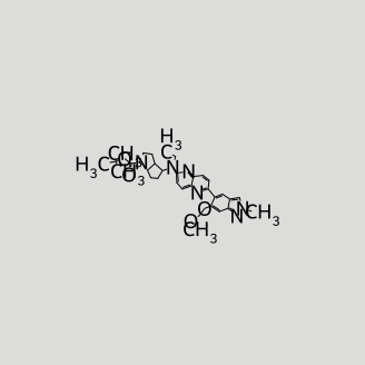 CCN(c1ccc2nc(-c3cc4cn(C)nc4cc3OCOC)ccc2n1)C1CCC2C1CCN2C(=O)OC(C)(C)C